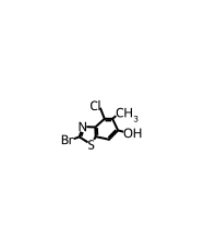 Cc1c(O)cc2sc(Br)nc2c1Cl